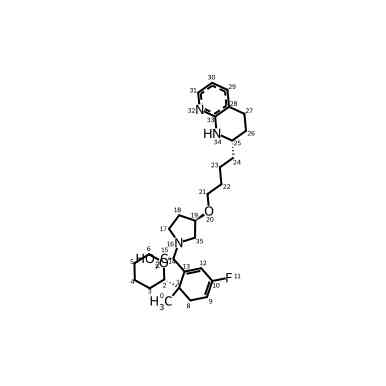 CC1([C@@H]2CCCCO2)CC=C(F)C=C1[C@H](C(=O)O)N1CC[C@@H](OCCCC[C@H]2CCc3cccnc3N2)C1